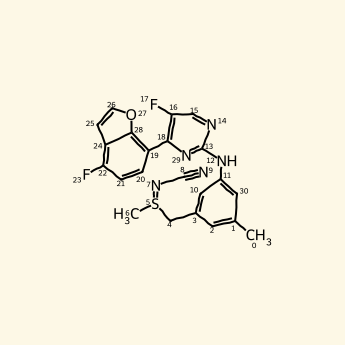 Cc1cc(CS(C)=NC#N)cc(Nc2ncc(F)c(-c3ccc(F)c4ccoc34)n2)c1